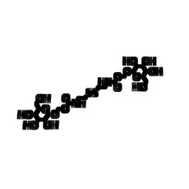 O=C(NCCSSCCNC(=O)OCO[C@H]1OC(CO)[C@@H](O)[C@H](O)C1O)OCO[C@H]1OC(CO)[C@@H](O)[C@H](O)C1O